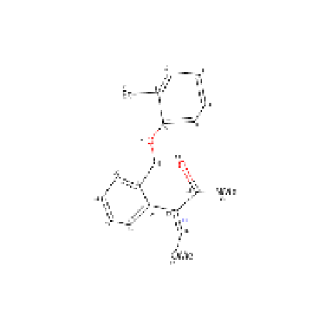 CCc1ccccc1OCc1ccccc1/C(=C\OC)C(=O)NC